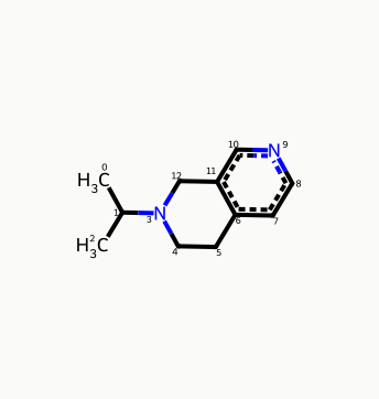 CC(C)N1CCc2ccncc2C1